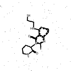 Cc1nc2cccc(NCCS)c2c(=O)n1C1CCCNC1=O